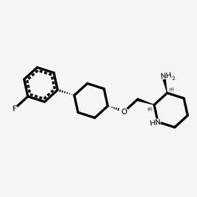 N[C@H]1CCCN[C@H]1CO[C@H]1CC[C@@H](c2cccc(F)c2)CC1